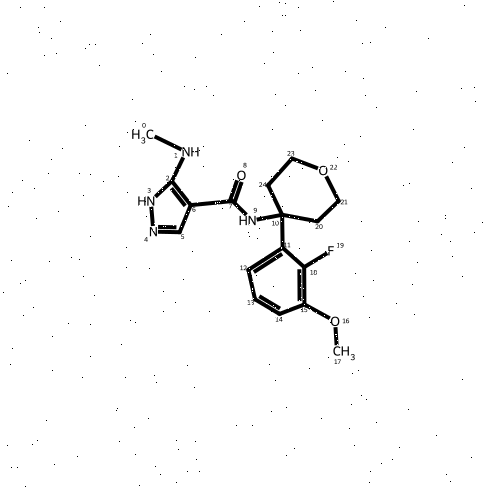 CNc1[nH]ncc1C(=O)NC1(c2cccc(OC)c2F)CCOCC1